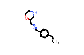 CCc1ccc(/C=N/CC2CNCCO2)cc1